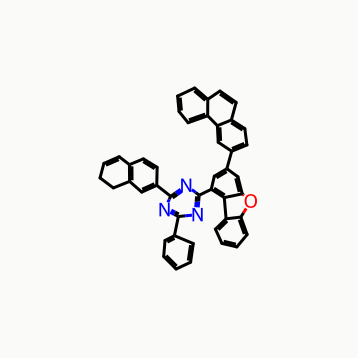 C1=Cc2ccc(-c3nc(-c4ccccc4)nc(-c4cc(-c5ccc6ccc7ccccc7c6c5)cc5oc6ccccc6c45)n3)cc2CC1